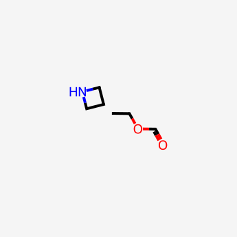 C1CNC1.CCOC=O